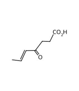 CC=CC(=O)CCC(=O)O